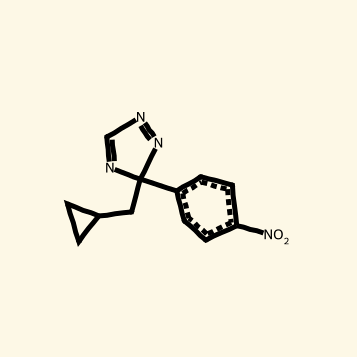 O=[N+]([O-])c1ccc(C2(CC3CC3)N=CN=N2)cc1